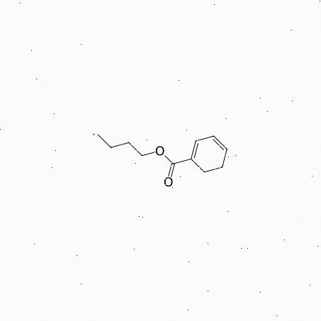 [CH2]CCCOC(=O)C1=CC=CCC1